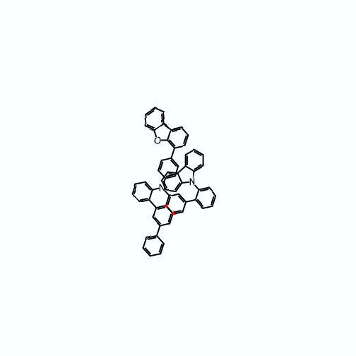 c1ccc(-c2cccc(-c3ccccc3N(c3ccc(-c4cccc5c4oc4ccccc45)cc3)c3cccc(-c4ccccc4-n4c5ccccc5c5ccccc54)c3)c2)cc1